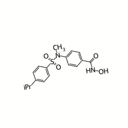 CC(C)c1ccc(S(=O)(=O)N(C)c2ccc(C(=O)NO)cc2)cc1